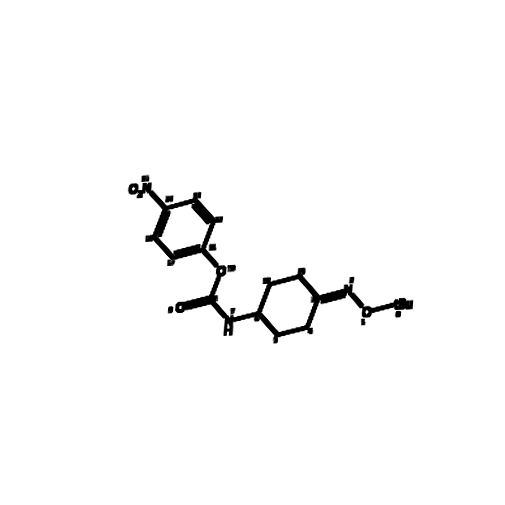 CC(C)(C)ON=C1CCC(NC(=O)Oc2ccc([N+](=O)[O-])cc2)CC1